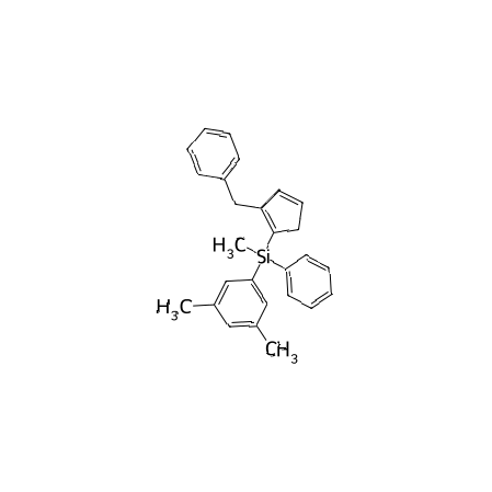 Cc1cc(C)cc([Si](C)(C2=C(Cc3ccccc3)C=CC2)c2ccccc2)c1